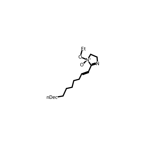 CCCCCCCCCCCCCCCC=CC1=NCC[N+]1([O-])OCC